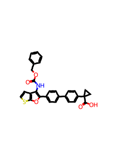 O=C(Nc1c(-c2ccc(-c3ccc(C4(C(=O)O)CC4)cc3)cc2)oc2sccc12)OCc1ccccc1